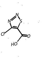 O=C(O)c1snnc1Cl